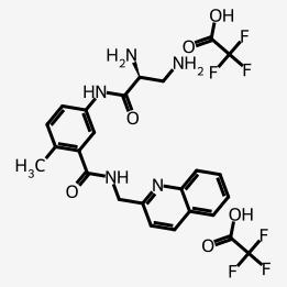 Cc1ccc(NC(=O)[C@@H](N)CN)cc1C(=O)NCc1ccc2ccccc2n1.O=C(O)C(F)(F)F.O=C(O)C(F)(F)F